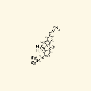 C/N=C/c1ccc2c3c([nH]c2c1)C(C)(C)c1cc(SCCN(C(C)C)C(C)C)ccc1C3=O